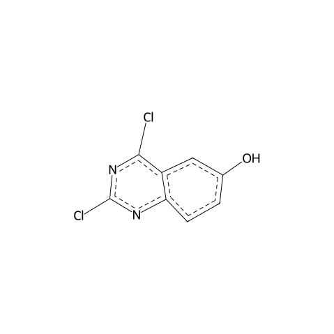 Oc1ccc2nc(Cl)nc(Cl)c2c1